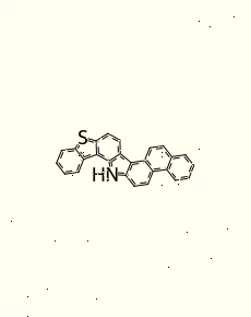 c1ccc2c(c1)ccc1c2ccc2[nH]c3c(ccc4sc5ccccc5c43)c21